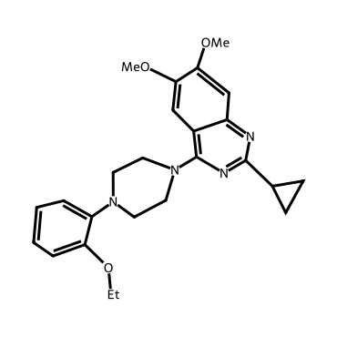 CCOc1ccccc1N1CCN(c2nc(C3CC3)nc3cc(OC)c(OC)cc23)CC1